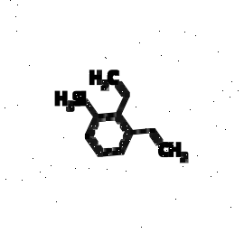 C=Cc1cccc([SiH3])c1C=C